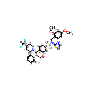 COc1ccc(CN(c2ncns2)S(=O)(=O)c2ccc3c(c2)OCC[C@@H]3N2CC[C@@H](C(F)(F)F)C[C@H]2c2cccc(Br)c2)c(OC)c1